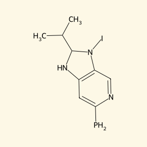 CC(C)C1Nc2cc(P)ncc2N1I